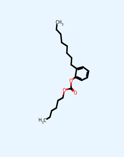 CCCCCCCCc1ccccc1OC(=O)OCCCCCC